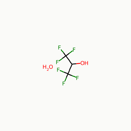 O.OC(C(F)(F)F)C(F)(F)F